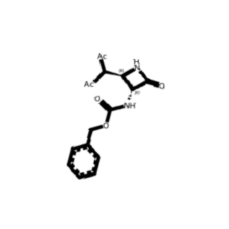 CC(=O)C(C(C)=O)[C@H]1NC(=O)[C@@H]1NC(=O)OCc1ccccc1